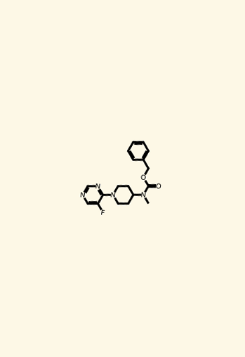 CN(C(=O)OCc1ccccc1)C1CCN(c2ncncc2F)CC1